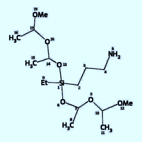 CC[Si](CCCN)(OC(C)OC(C)OC)OC(C)OC(C)OC